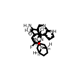 NC(=O)c1cnc2[nH]ccc2c1N[C@@H]1C[C@H]2CC[C@@H](C1)N2c1nc(Cl)c(N)cc1F